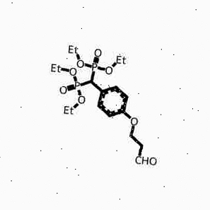 CCOP(=O)(OCC)C(c1ccc(OCCC=O)cc1)P(=O)(OCC)OCC